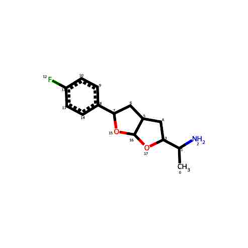 CC(N)C1CC2CC(c3ccc(F)cc3)OC2O1